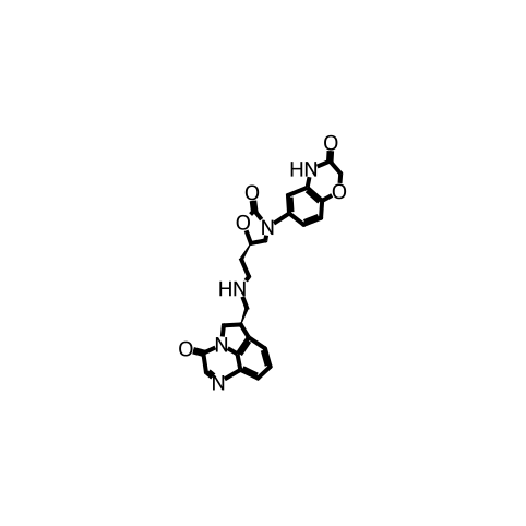 O=C1COc2ccc(N3C[C@@H](CCNC[C@@H]4Cn5c(=O)cnc6cccc4c65)OC3=O)cc2N1